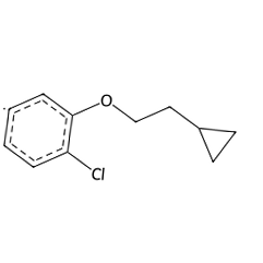 Clc1cc[c]cc1OCCC1CC1